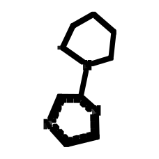 [CH]1CCCCN1c1cnccn1